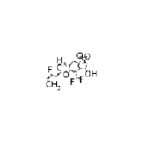 C/C=C(F)\C=C(/C)Oc1ccc2c(c1C(F)F)C(O)CS2(=O)=O